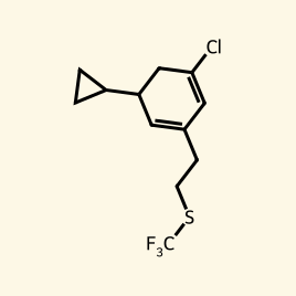 FC(F)(F)SCCC1=CC(C2CC2)CC(Cl)=C1